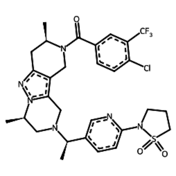 C[C@H](c1ccc(N2CCCS2(=O)=O)nc1)N1Cc2c3c(nn2[C@H](C)C1)C[C@@H](C)N(C(=O)c1ccc(Cl)c(C(F)(F)F)c1)C3